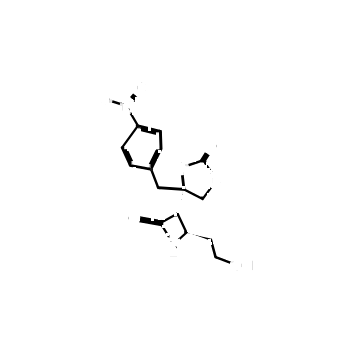 O=C1OCC(Cc2ccc([N+](=O)[O-])cc2)([C@H]2C(=O)N[C@@H]2CCO)O1